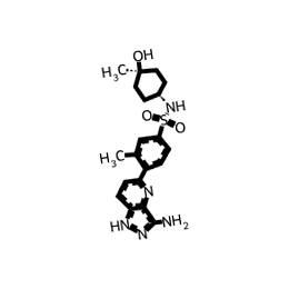 Cc1cc(S(=O)(=O)N[C@H]2CC[C@](C)(O)CC2)ccc1-c1ccc2[nH]nc(N)c2n1